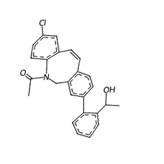 CC(=O)N1Cc2cc(-c3ccccc3C(C)O)ccc2C=Cc2cc(Cl)ccc21